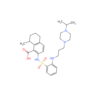 CC1CCCc2ccc(NS(=O)(=O)c3ccccc3NCCCN3CCN(C(C)C)CC3)c(C(=O)O)c21